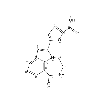 C=C(O)c1ccc(-c2nc3cccc4c3n2CCNC4=O)o1